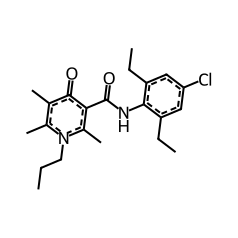 CCCn1c(C)c(C)c(=O)c(C(=O)Nc2c(CC)cc(Cl)cc2CC)c1C